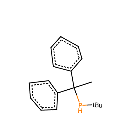 CC(C)(C)PC(C)(c1ccccc1)c1ccccc1